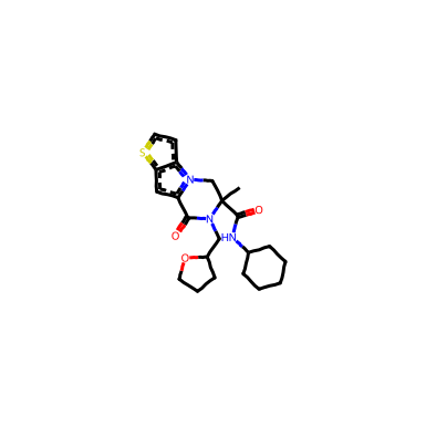 CC1(C(=O)NC2CCCCC2)Cn2c(cc3sccc32)C(=O)N1CC1CCCO1